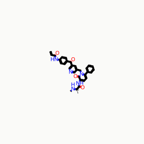 C=CC(=O)Nc1ccc(C(=O)c2cncc(Cn3c(-c4ccccc4)ccc(NC(=O)[C@H](C)NC)c3=O)c2)cc1